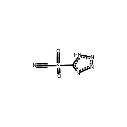 N#CS(=O)(=O)c1nnn[nH]1